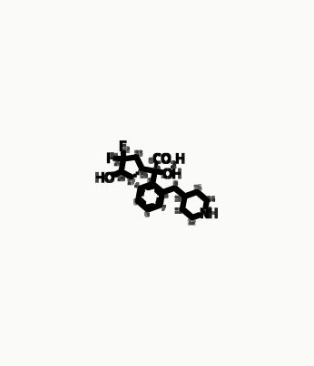 O=C(O)[C@](O)(c1ccccc1CC1CCNCC1)[C@@H]1CC(O)C(F)(F)C1